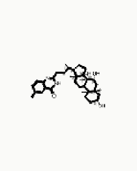 Cc1ccc2nc(CC[C@@H](C)[C@H]3CC[C@H]4[C@H]5C(CC[C@]34C)[C@@]3(C)CC[C@@H](O)C[C@H]3C[C@H]5O)[nH]c(=O)c2c1